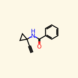 C#CC1(NC(=O)c2ccccc2)CC1